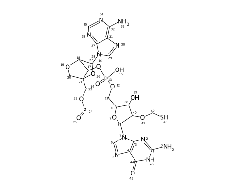 Nc1nc2c(ncn2C2OC(COP(=O)(O)OC3C4OCC3(COP=O)OC4n3cnc4c(N)ncnc43)C(O)C2OCS)c(=O)[nH]1